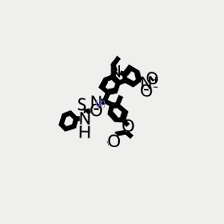 CCn1c2ccc(/C(=N/OC(=S)NC3CCCCC3)c3ccc(OC(C)COC)cc3C)cc2c2cc([N+](=O)[O-])ccc21